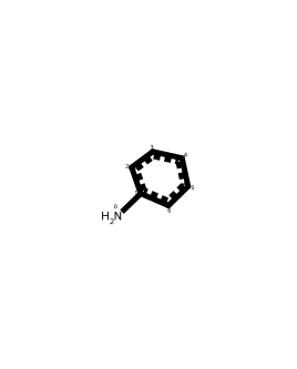 Nc1[c]cc[c]c1